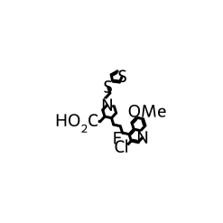 COc1ccc2ncc(Cl)c(C(F)CCC3CCN(CCSc4ccsc4)CC3CC(=O)O)c2c1